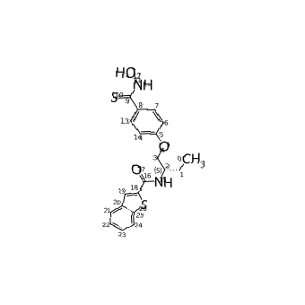 CC[C@@H](COc1ccc(C(=S)NO)cc1)NC(=O)c1cc2ccccc2s1